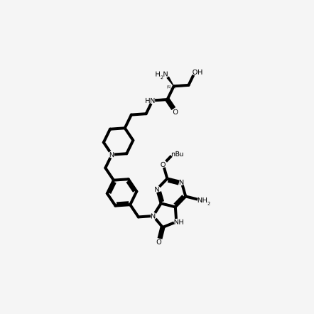 CCCCOc1nc(N)c2[nH]c(=O)n(Cc3ccc(CN4CCC(CCNC(=O)[C@@H](N)CO)CC4)cc3)c2n1